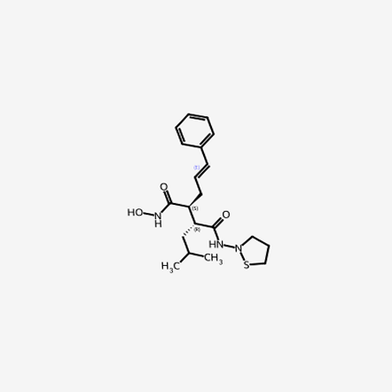 CC(C)C[C@@H](C(=O)NN1CCCS1)[C@H](C/C=C/c1ccccc1)C(=O)NO